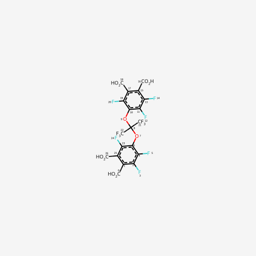 O=C(O)c1c(F)c(F)c(OC(Oc2c(F)c(F)c(C(=O)O)c(C(=O)O)c2F)(C(F)(F)F)C(F)(F)F)c(F)c1C(=O)O